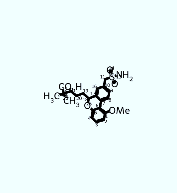 COc1cccc2c1-c1ccc(CS(N)(=O)=O)cc1C(CCCC(C)(C)C(=O)O)O2